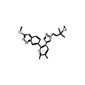 COc1cc2ccc(-c3nc(C)c(C)cc3-c3cnn(CCC(C)(C)OC)c3)cc2nn1